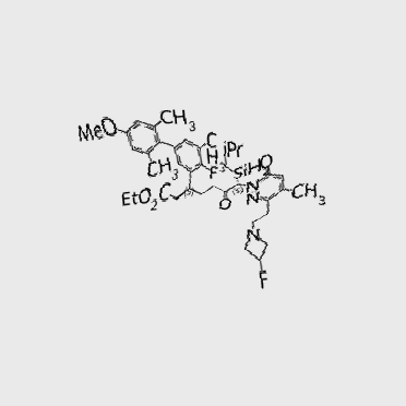 CCOC(=O)C[C@H](CCC(=O)[C@H]([SiH2]CC(C)C)n1nc(CCN2CC(F)C2)c(C)cc1=O)c1cc(-c2c(C)cc(OC)cc2C)cc(C)c1F